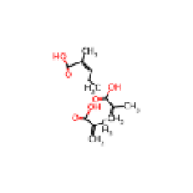 C=C(C)C(=O)O.C=C(C)C(=O)O.CCC=C(C)C(=O)O